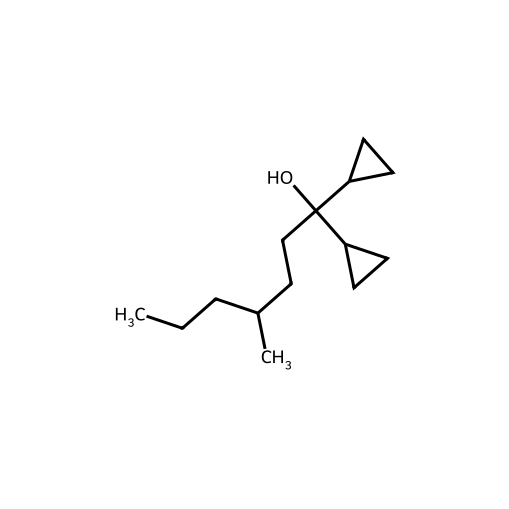 CCCC(C)CCC(O)(C1CC1)C1CC1